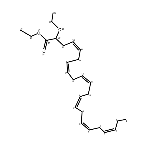 CC/C=C\C/C=C\C/C=C\C/C=C\C/C=C\C/C=C\CC(OCC)C(=O)OCC